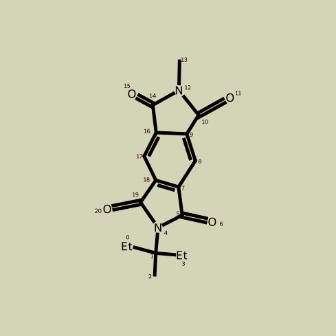 CCC(C)(CC)n1c(=O)c2cc3c(=O)n(C)c(=O)c3cc2c1=O